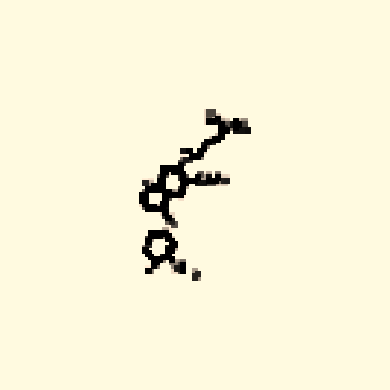 CCN(CC)CCCOc1cc2nccc(SC3=CCC(=S)C(N)=C3)c2cc1OC